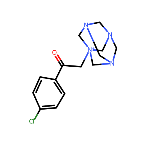 O=C(C[N+]12CN3CN(CN(C3)C1)C2)c1ccc(Cl)cc1